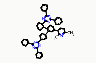 Cc1ccc(-c2ccc(-c3ccccc3-c3nc(-c4ccccc4)nc(-c4ccccc4)n3)c(-c3ccc(-c4nc(-c5ccccc5)nc(-c5ccccc5)n4)cc3)c2)c(C)n1